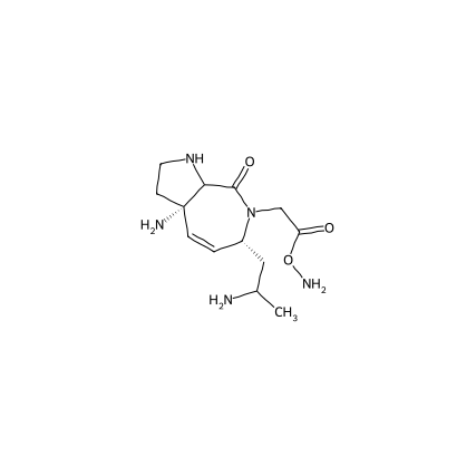 CC(N)C[C@@H]1C=C[C@@]2(N)CCNC2C(=O)N1CC(=O)ON